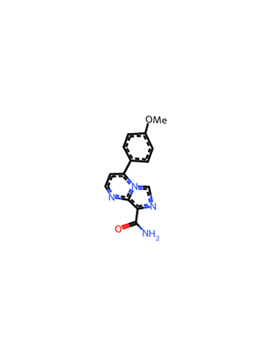 COc1ccc(-c2ccnc3c(C(N)=O)ncn23)cc1